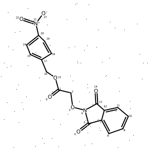 O=C(CON1C(=O)c2ccccc2C1=O)OCc1ccc([N+](=O)[O-])cc1